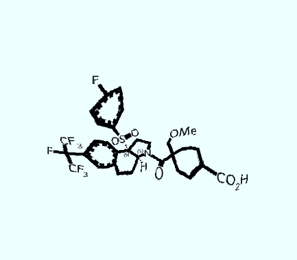 COCC1(C(=O)N2CC[C@]3(S(=O)(=O)c4ccc(F)cc4)c4ccc(C(F)(C(F)(F)F)C(F)(F)F)cc4CC[C@H]23)CCC(C(=O)O)CC1